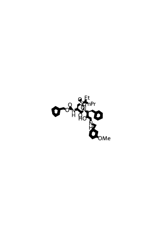 CCCC(CC)S(=O)(=O)C[C@H](NC(=O)OCc1ccccc1)C(=O)N[C@@H](Cc1ccccc1)[C@H](O)CNCc1cccc(OC)c1